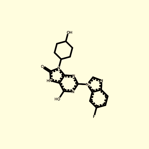 O=c1[nH]c2c(O)nc(-n3cnc4ccc(F)cc43)nc2n1C1CCC(O)CC1